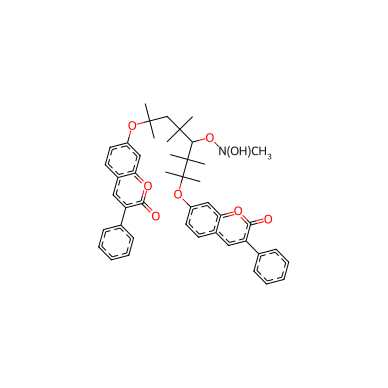 CN(O)OC(C(C)(C)CC(C)(C)Oc1ccc2cc(-c3ccccc3)c(=O)oc2c1)C(C)(C)C(C)(C)Oc1ccc2cc(-c3ccccc3)c(=O)oc2c1